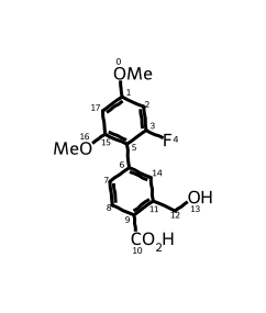 COc1cc(F)c(-c2ccc(C(=O)O)c(CO)c2)c(OC)c1